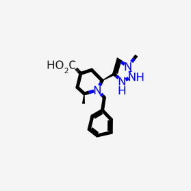 C[C@H]1CC(C(=O)O)C[C@@H](C2=CN(C)NN2)N1Cc1ccccc1